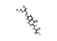 NC/C(=C\F)COc1ccc2c(c1)CCN(CCC(N)=O)C2=O